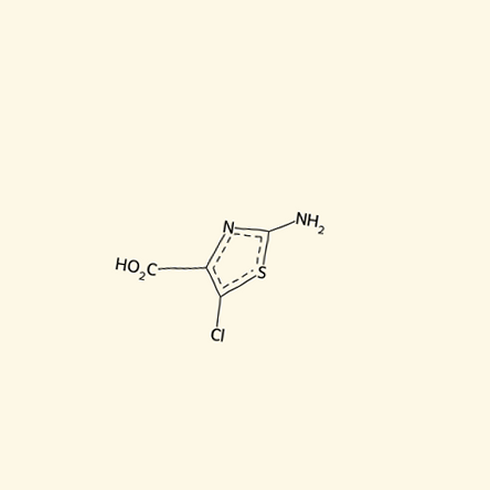 Nc1nc(C(=O)O)c(Cl)s1